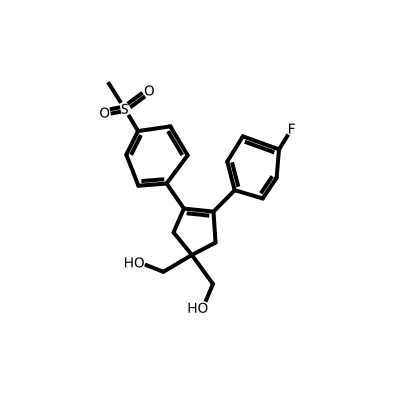 CS(=O)(=O)c1ccc(C2=C(c3ccc(F)cc3)CC(CO)(CO)C2)cc1